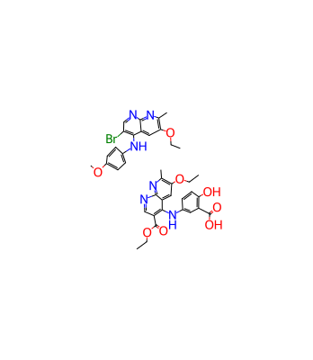 CCOC(=O)c1cnc2nc(C)c(OCC)cc2c1Nc1ccc(O)c(C(=O)O)c1.CCOc1cc2c(Nc3ccc(OC)cc3)c(Br)cnc2nc1C